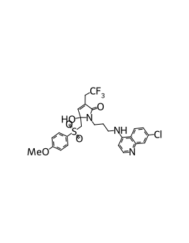 COc1ccc(S(=O)(=O)CC2(O)C=C(CC(F)(F)F)C(=O)N2CCCNc2ccnc3cc(Cl)ccc23)cc1